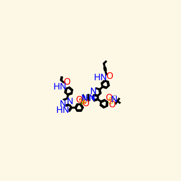 C=CC(=O)Nc1cccc(-c2cnc3[nH]cc(-c4cccc(S(=O)(=O)N(C)C(C)(C)n5cc(-c6cccc(S(=O)(=O)N(C)C(C)(C)C)c6)c6cc(-c7cccc(NC(=O)C#CCC)c7)cnc65)c4)c3n2)c1